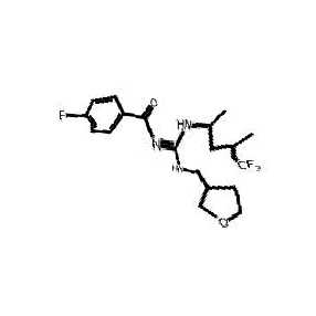 CC(CC(C)C(F)(F)F)N/C(=N\C(=O)c1ccc(F)cc1)NCC1CCOC1